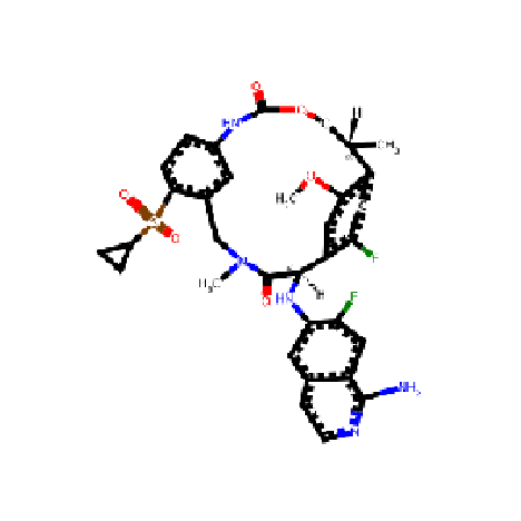 COc1cc2c(F)cc1[C@@H](C)COC(=O)Nc1ccc(S(=O)(=O)C3CC3)c(c1)CN(C)C(=O)[C@@H]2Nc1cc2ccnc(N)c2cc1F